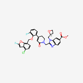 COC(=O)c1ccc2nc(CN3CCC(c4cccc(F)c4OCc4ccc(Cl)c5cc(F)oc45)=CC3=O)n(C[C@@H]3CCO3)c2c1